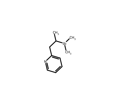 C[CH](Cc1ccccn1)[Sb]([CH3])[CH3]